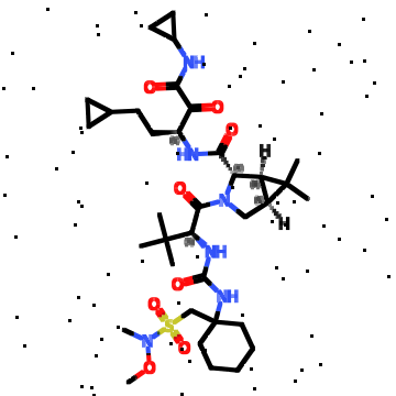 CON(C)S(=O)(=O)CC1(NC(=O)N[C@H](C(=O)N2C[C@H]3[C@@H]([C@H]2C(=O)N[C@@H](CCC2CC2)C(=O)C(=O)NC2CC2)C3(C)C)C(C)(C)C)CCCCC1